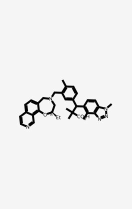 CC[C@@H]1CN(Cc2cc(C(c3ccc4c(nnn4C)c3C)C(C)(C)C(=O)O)ccc2C)Cc2ccc3ccncc3c2O1